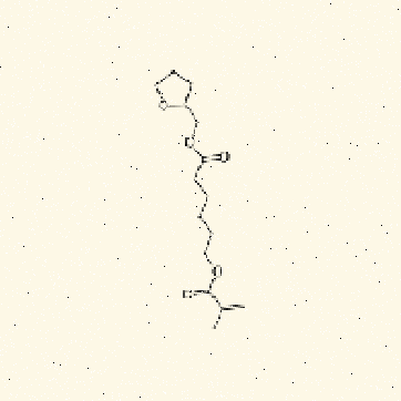 C=C(C)C(=O)OCCCCCC(=O)OCC1CCCO1